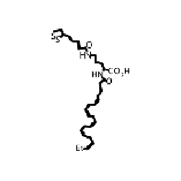 CC/C=C\C/C=C\C/C=C\C/C=C\C/C=C\CCCC(=O)N[C@@H](CCCNC(=O)CCCCC1CCSS1)C(=O)O